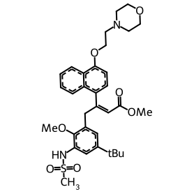 COC(=O)C=C(Cc1cc(C(C)(C)C)cc(NS(C)(=O)=O)c1OC)c1ccc(OCCN2CCOCC2)c2ccccc12